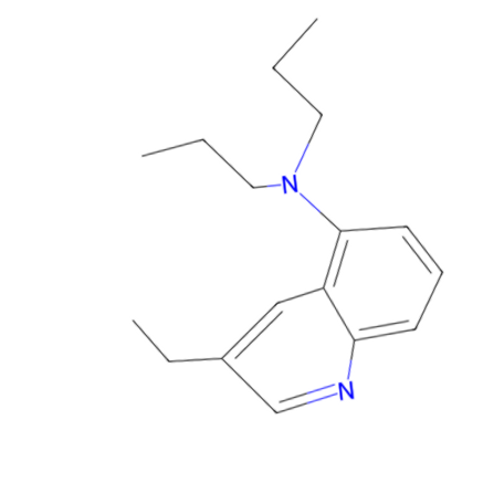 CCCN(CCC)c1cccc2ncc(CC)cc12